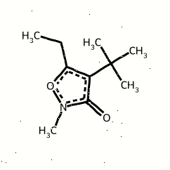 CCc1on(C)c(=O)c1C(C)(C)C